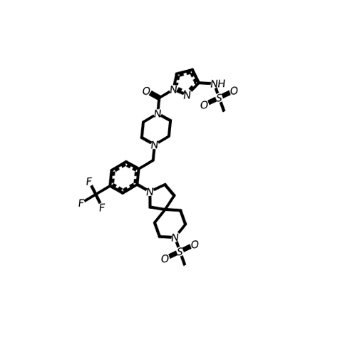 CS(=O)(=O)Nc1ccn(C(=O)N2CCN(Cc3ccc(C(F)(F)F)cc3N3CCC4(CCN(S(C)(=O)=O)CC4)C3)CC2)n1